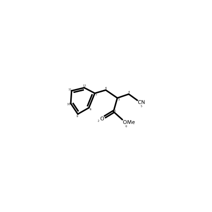 COC(=O)C(CC#N)Cc1ccccc1